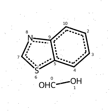 O=CO.c1ccc2scnc2c1